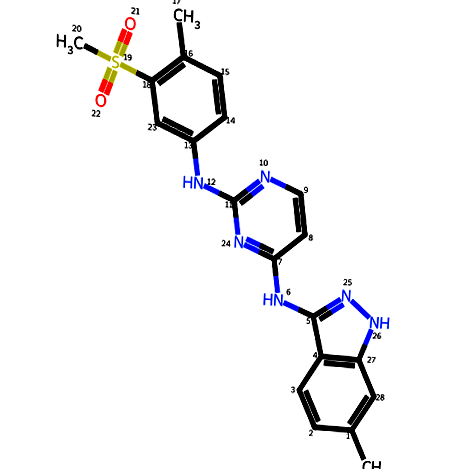 Cc1ccc2c(Nc3ccnc(Nc4ccc(C)c(S(C)(=O)=O)c4)n3)n[nH]c2c1